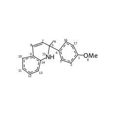 COc1ccc(C2(C)C=Cc3ccccc3N2)cc1